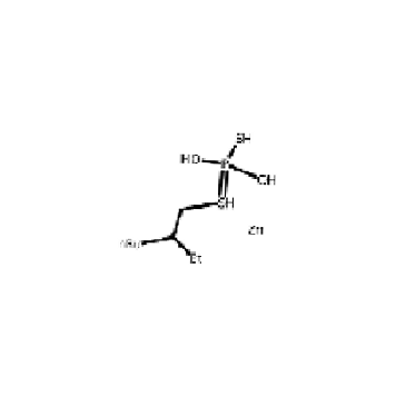 CCCCC(CC)C[SH]=P(O)(O)S.[Zn]